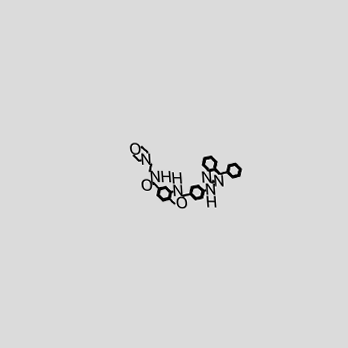 Cc1ccc(C(=O)NCCN2CCOCC2)cc1NC(=O)c1ccc(Nc2nc(-c3ccccc3)c3ccccc3n2)cc1